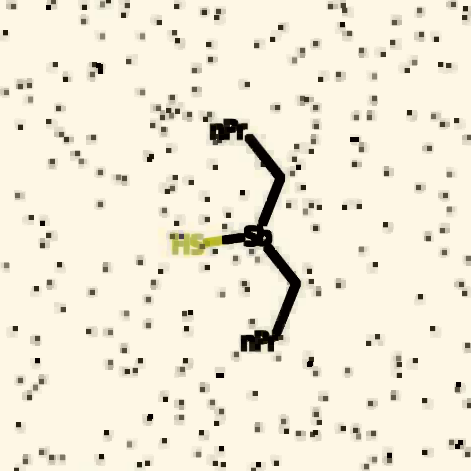 CCC[CH2][Sb]([SH])[CH2]CCC